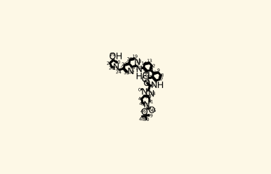 Cn1c(C(=O)Nc2cccc(-c3cccc(Nc4nccc5cc(CN6CCC(O)C6)cnc45)c3Cl)c2Cl)nc2c1CCN(C(=O)OC(C)(C)C)C2